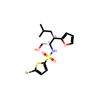 CC(C)C[C@@H](c1ccco1)[C@@H](CO)NS(=O)(=O)c1ccc(Br)s1